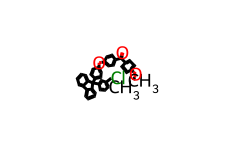 COc1ccc(C(=O)c2ccc(Oc3ccc(C4(c5ccc(C)c(CCl)c5)c5ccccc5-c5ccccc54)cc3)cc2)cc1